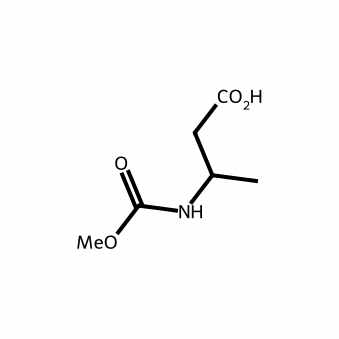 COC(=O)NC(C)CC(=O)O